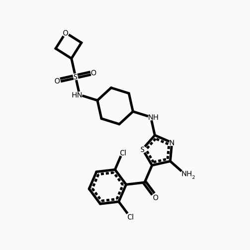 Nc1nc(NC2CCC(NS(=O)(=O)C3COC3)CC2)sc1C(=O)c1c(Cl)cccc1Cl